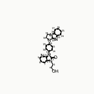 O=c1n(CCO)c2cccnc2n1-c1ccc(N2CCn3c2nc2ccccc23)cc1